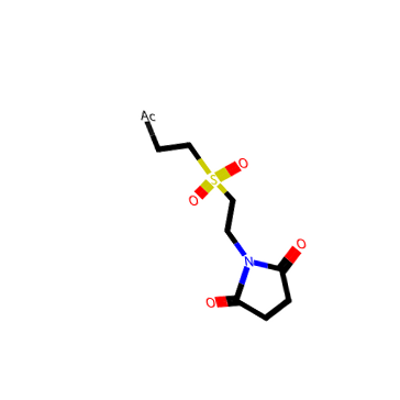 CC(=O)CCS(=O)(=O)CCN1C(=O)CCC1=O